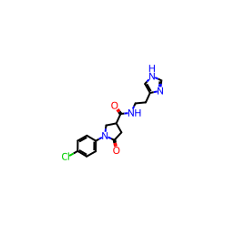 O=C(NCCc1c[nH]cn1)C1CC(=O)N(c2ccc(Cl)cc2)C1